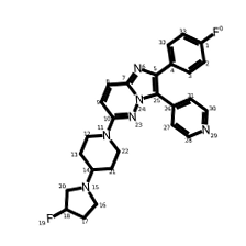 Fc1ccc(-c2nc3ccc(N4CCC(N5CCC(F)C5)CC4)nn3c2-c2ccncc2)cc1